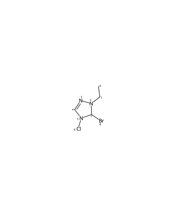 CCN1N=CN(Cl)C1Br